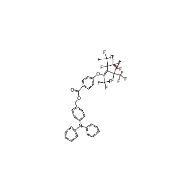 O=C(OCc1ccc(N(c2ccccc2)c2ccccc2)cc1)c1ccc(OC(=C(C(F)(C(F)(F)F)C(F)(F)F)C(F)(C(F)(F)F)C(F)(F)F)C(F)(F)F)cc1